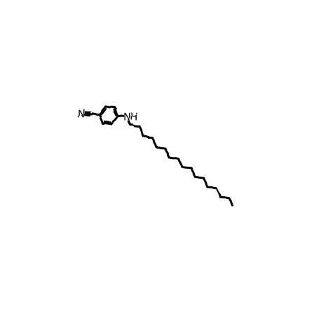 CCCCCCCCCCCCCCCCCNc1ccc(C#N)cc1